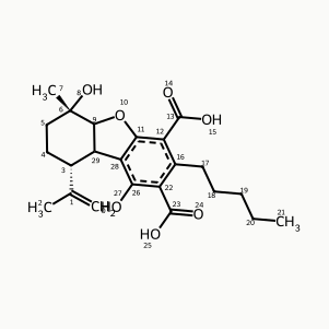 C=C(C)[C@@H]1CC[C@](C)(O)C2Oc3c(C(=O)O)c(CCCCC)c(C(=O)O)c(O)c3C21